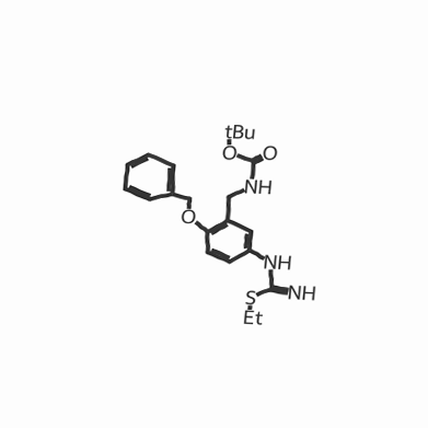 CCSC(=N)Nc1ccc(OCc2ccccc2)c(CNC(=O)OC(C)(C)C)c1